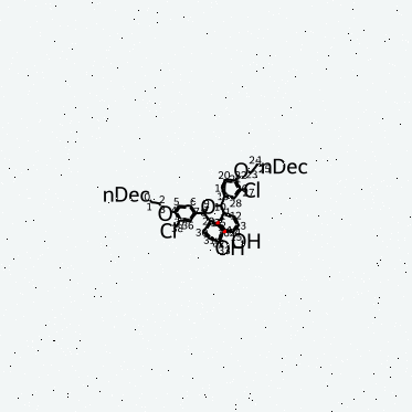 CCCCCCCCCCCCOc1ccc(C(OC(c2ccc(O)cc2)c2ccc(OCCCCCCCCCCCC)c(Cl)c2)c2ccc(O)cc2)cc1Cl